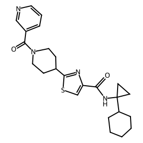 O=C(NC1(C2CCCCC2)CC1)c1csc(C2CCN(C(=O)c3cccnc3)CC2)n1